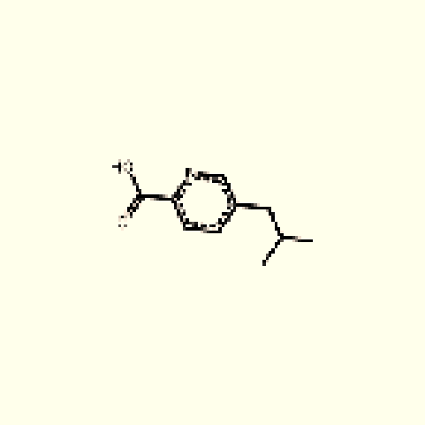 CC(C)Cc1ccc(C(=O)O)nc1